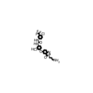 Cl.NCCCn1cnc2ccc(Oc3ccc(NC(=O)Nc4ccc(Cl)c(C(F)(F)F)c4)cc3)cc2c1=O